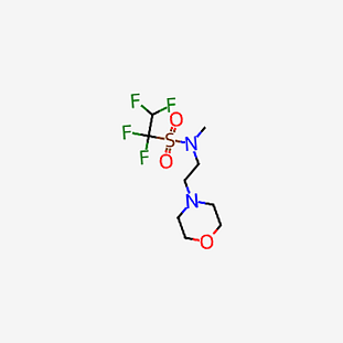 CN(CCN1CCOCC1)S(=O)(=O)C(F)(F)C(F)F